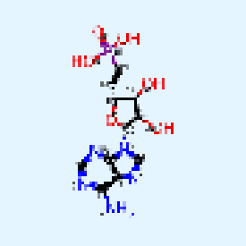 Nc1ncnc2c1ncn2[C@@H]1O[C@H](C=CP(=O)(O)O)[C@@H](O)[C@H]1O